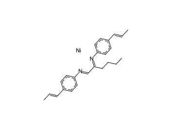 CC=Cc1ccc(N=CC(CCCC)=Nc2ccc(C=CC)cc2)cc1.[Ni]